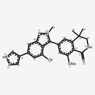 COc1cc(-c2c3c(C#N)cc(-c4cn[nH]c4)cc3nn2C)cc2c1C(=O)NCC2(C)C